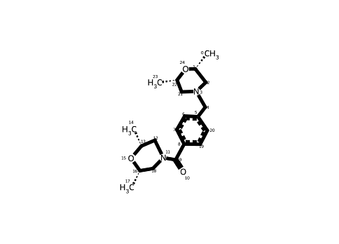 C[C@@H]1CN(Cc2ccc(C(=O)N3C[C@@H](C)O[C@@H](C)C3)cc2)C[C@H](C)O1